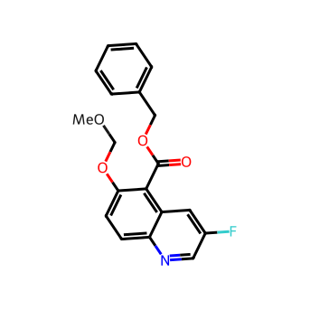 COCOc1ccc2ncc(F)cc2c1C(=O)OCc1ccccc1